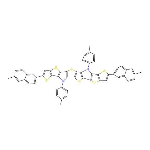 Cc1ccc(-n2c3c4sc(-c5ccc6cc(C)ccc6c5)cc4sc3c3sc4c(sc5c6sc7cc(-c8ccc9cc(C)ccc9c8)sc7c6n(-c6ccc(C)cc6)c54)c32)cc1